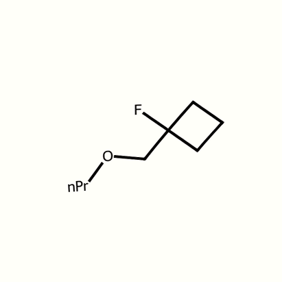 CCCOCC1(F)CCC1